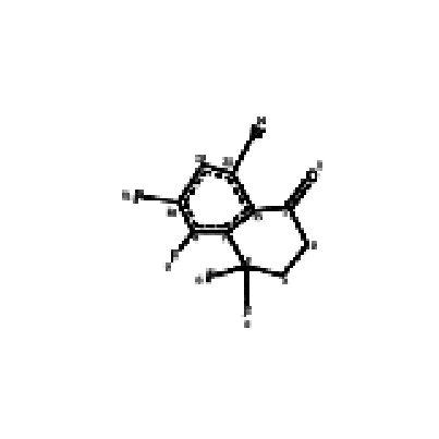 O=C1CCC(F)(F)c2c(F)c(F)cc(Br)c21